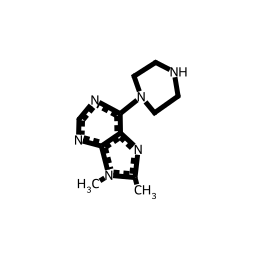 Cc1nc2c(N3CCNCC3)ncnc2n1C